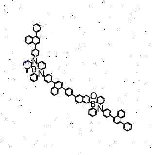 C=C(C)C1=C(/C=C\C)N(c2ccc(-c3ccc(-c4ccccc4)c4ccccc34)cc2)c2cccc3c2B1c1ccccc1N3c1ccc(-c2ccc(-c3ccc(-c4ccc5cc6c(cc5c4)Oc4cccc5c4B6c4ccccc4N5c4ccc(-c5ccc(-c6ccccc6)c6ccccc56)cc4)cc3)c3ccccc23)cc1